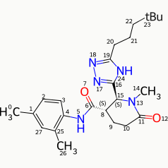 Cc1ccc(NC(=O)[C@H]2CCC(=O)N(C)[C@@H]2c2nnc(CCCC(C)(C)C)[nH]2)c(C)c1